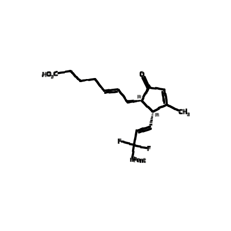 CCCCCC(F)(F)C=C[C@H]1C(C)=CC(=O)[C@@H]1CC=CCCCC(=O)O